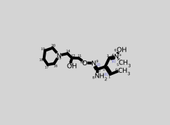 C/C=C(\C=[N+](/C)O)C(/N)=N/OCC(O)CN1CCCCC1